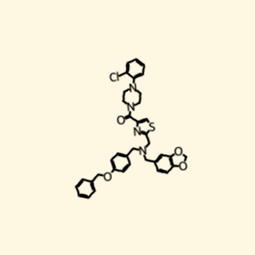 O=C(c1csc(CN(Cc2ccc(OCc3ccccc3)cc2)Cc2ccc3c(c2)OCO3)n1)N1CCN(c2ccccc2Cl)CC1